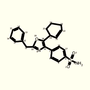 NS(=O)(=O)c1ccc(-c2nc(Cc3ccccc3)oc2C2C=CCCC2)cc1